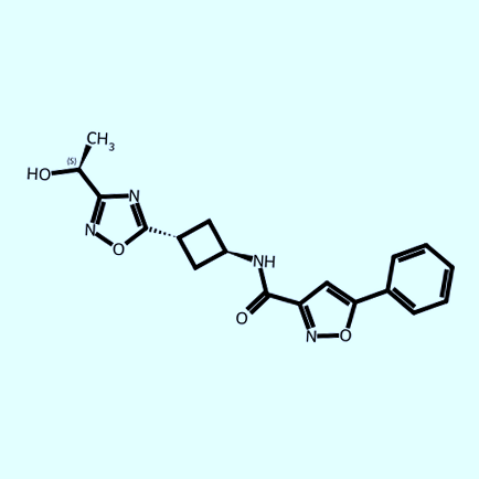 C[C@H](O)c1noc([C@H]2C[C@H](NC(=O)c3cc(-c4ccccc4)on3)C2)n1